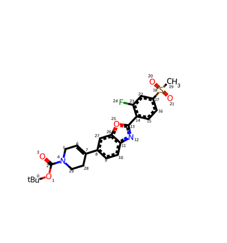 CC(C)(C)OC(=O)N1CC=C(c2ccc3nc(-c4ccc(S(C)(=O)=O)cc4F)oc3c2)CC1